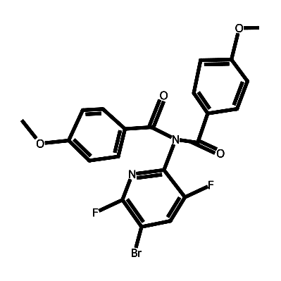 COc1ccc(C(=O)N(C(=O)c2ccc(OC)cc2)c2nc(F)c(Br)cc2F)cc1